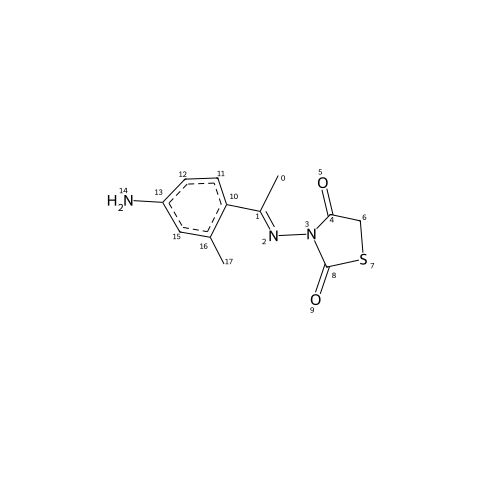 CC(=NN1C(=O)CSC1=O)c1ccc(N)cc1C